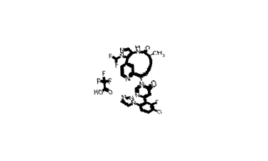 C[C@@H]1CCC[C@H](n2cnc(-c3c(-n4ccnn4)ccc(Cl)c3F)cc2=O)c2cc(ccn2)-c2c(cnn2C(F)F)NC1=O.O=C(O)C(F)(F)F